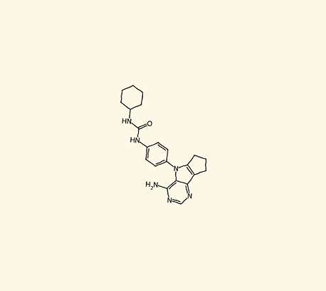 Nc1ncnc2c3c(n(-c4ccc(NC(=O)NC5CCCCC5)cc4)c12)CCC3